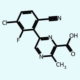 Cc1ncc(-c2c(C#N)ccc(Cl)c2F)nc1C(=O)O